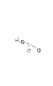 CCOC(Cc1ccc(OCCN(CCCCOc2ccccc2)C(=O)OC2CCCC2)cc1)C(=O)O